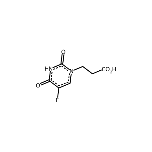 O=C(O)CCn1cc(F)c(=O)[nH]c1=O